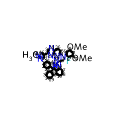 COc1cc(OC)c(F)c(N(Cc2ncn(C(c3ccccc3)(c3ccccc3)c3ccccc3)n2)c2ccc3ncc(-c4cnn(C)c4)nc3n2)c1